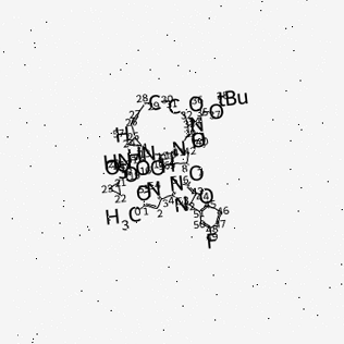 Cc1cc(-c2nc(O[C@@H]3C[C@H]4C(=O)N[C@]5(C(=O)NS(=O)(=O)C6CC6)C[C@H]5/C=C\CCCCC[C@H](NC(=O)OC(C)(C)C)C(=O)N4C3)c3oc4ccc(F)cc4c3n2)no1